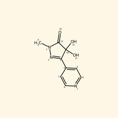 CN1N=C(c2ccncc2)C(O)(O)C1=O